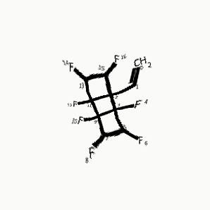 C=CC12C3(F)C4(F)C5(F)C3(F)C1(F)C5(F)C42F